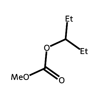 [CH]OC(=O)OC(CC)CC